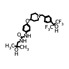 CC(C)(O)CNC(=O)Nc1ccc(OC2CCN(Cc3ccc(C(O)(C(F)(F)F)C(F)(F)F)cc3)CC2)cc1